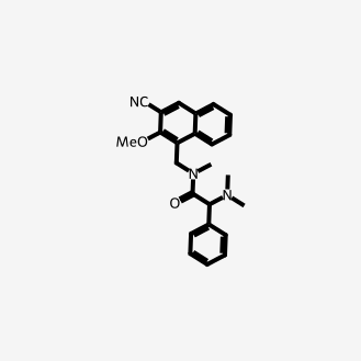 COc1c(C#N)cc2ccccc2c1CN(C)C(=O)C(c1ccccc1)N(C)C